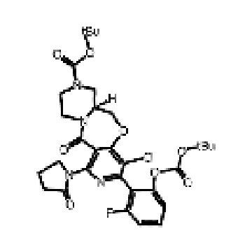 CC(C)(C)OC(=O)Oc1cccc(F)c1-c1nc(N2CCCC2=O)c2c(c1Cl)OC[C@H]1CN(C(=O)OC(C)(C)C)CCN1C2=O